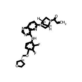 C=CC(=O)N1C[C@@H]2C[C@H]1CN2c1ccc2ncnc(Nc3ccc(OC[C@@H]4CCOC4)c(F)c3F)c2n1